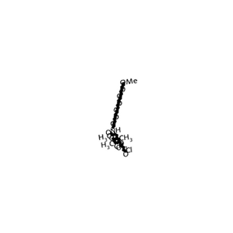 COCCOCCOCCOCCOCCOCCOCCNC(=O)[C@]1(C)CCc2c(C)c(OC(=O)CCC(=O)Cl)c(C)c(C)c2O1